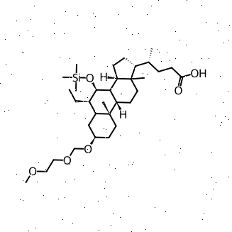 CC[C@@H]1C2C[C@H](OCOCCOC)CC[C@@]2(C)[C@H]2CCC3(C)[C@@H]([C@H](C)CCC(=O)O)CC[C@H]3C2[C@@H]1O[Si](C)(C)C